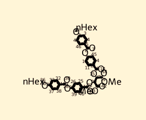 CCCCCCOc1ccc(C(=O)Oc2ccc(C(=O)O[C@@H](C(=O)OC)[C@@H](OC(=O)c3ccc(OC(=O)c4ccc(OCCCCCC)cc4)cc3)C(=O)OC)cc2)cc1